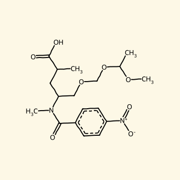 COC(C)OCOCC(CC(C)C(=O)O)N(C)C(=O)c1ccc([N+](=O)[O-])cc1